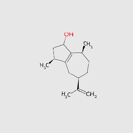 C=C(C)[C@@H]1CC[C@H](C)C2=C(C1)[C@@H](C)CC2O